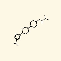 CC(C)NCC1CCC(N2CCC(n3cc(C(C)C)cn3)CC2)CC1